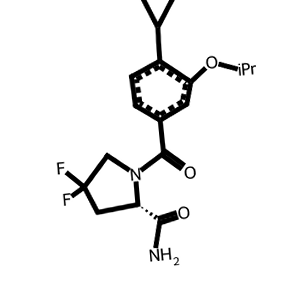 CC(C)Oc1cc(C(=O)N2CC(F)(F)C[C@H]2C(N)=O)ccc1C1CC1